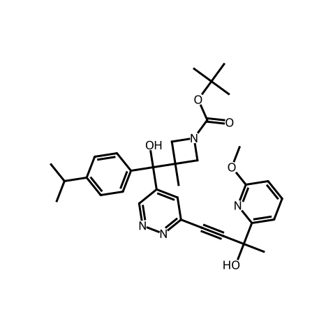 COc1cccc(C(C)(O)C#Cc2cc(C(O)(c3ccc(C(C)C)cc3)C3(C)CN(C(=O)OC(C)(C)C)C3)cnn2)n1